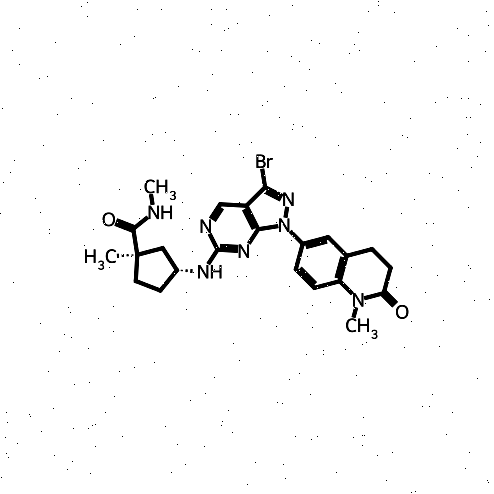 CNC(=O)[C@]1(C)CC[C@@H](Nc2ncc3c(Br)nn(-c4ccc5c(c4)CCC(=O)N5C)c3n2)C1